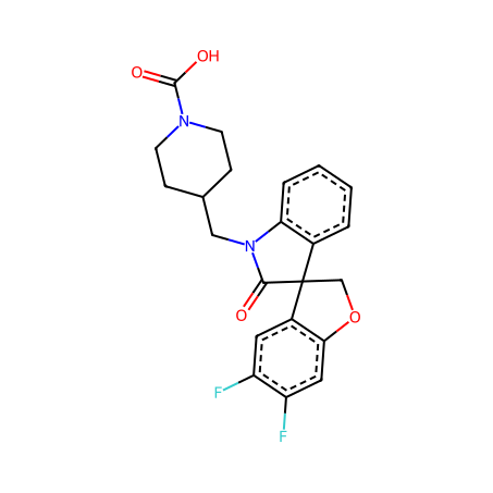 O=C(O)N1CCC(CN2C(=O)C3(COc4cc(F)c(F)cc43)c3ccccc32)CC1